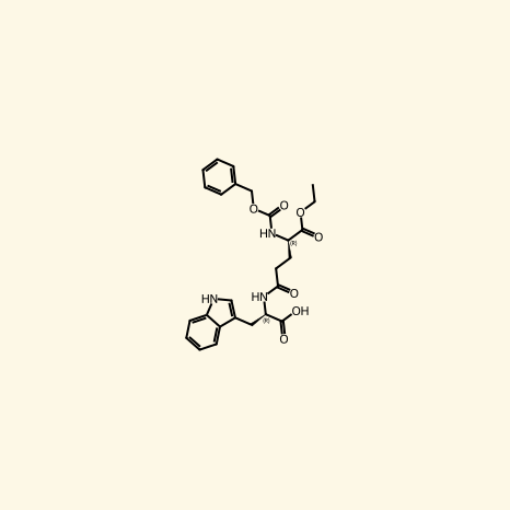 CCOC(=O)[C@@H](CCC(=O)N[C@H](Cc1c[nH]c2ccccc12)C(=O)O)NC(=O)OCc1ccccc1